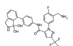 NCc1cc(-n2nc(C(F)(F)F)cc2C(=O)Nc2ccc(-c3cccc4c3S(O)(O)NC4)cc2)ccc1F